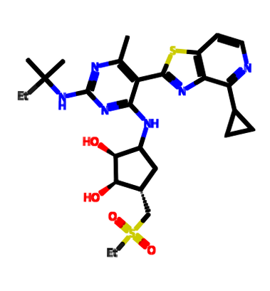 CCC(C)(C)Nc1nc(C)c(-c2nc3c(C4CC4)nccc3s2)c(NC2C[C@H](CS(=O)(=O)CC)[C@@H](O)[C@H]2O)n1